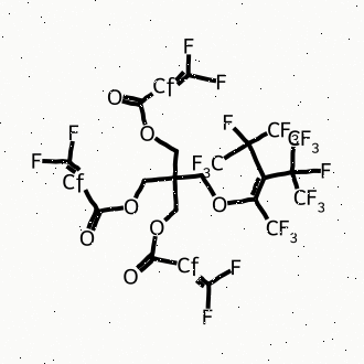 O=[C](OCC(CO[C](=O)[Cf]=[C](F)F)(CO[C](=O)[Cf]=[C](F)F)COC(=C(C(F)(C(F)(F)F)C(F)(F)F)C(F)(C(F)(F)F)C(F)(F)F)C(F)(F)F)[Cf]=[C](F)F